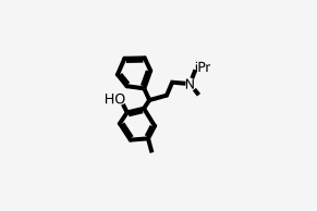 Cc1ccc(O)c(C(CCN(C)C(C)C)c2ccccc2)c1